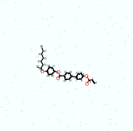 C=CC(=O)Oc1ccc(-c2ccc(C(=O)Oc3ccc(O[C@@H](C)CCCCCC)cc3)cc2)cc1